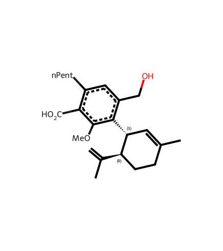 C=C(C)[C@@H]1CCC(C)=C[C@H]1c1c(CO)cc(CCCCC)c(C(=O)O)c1OC